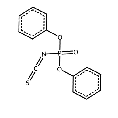 O=P(N=C=S)(Oc1ccccc1)Oc1ccccc1